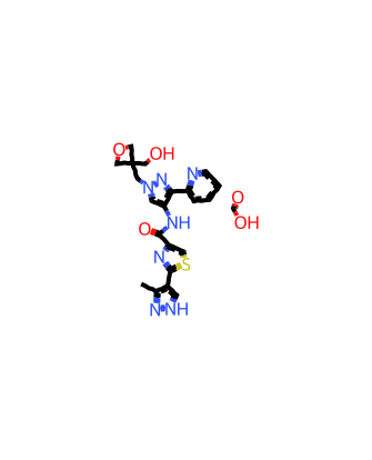 Cc1n[nH]cc1-c1nc(C(=O)Nc2cn(CC3(CO)COC3)nc2-c2ccccn2)cs1.O=CO